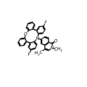 Cc1cn(C)c(=O)c2ccc(N3c4ccc(F)cc4-c4ccccc4Oc4ccccc4-c4cc(F)ccc43)cc12